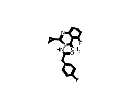 C=C1c2c(F)cccc2N=C(C2CC2)N1NC(=O)Cc1ccc(F)cc1